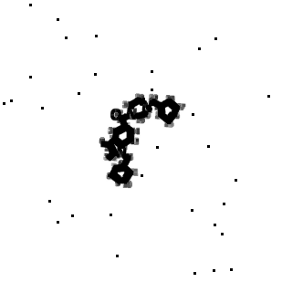 Cc1c(C)n(Cc2ccccc2)c2ccc(C(=O)N3CCN(Cc4ccccc4)CC3)cc12